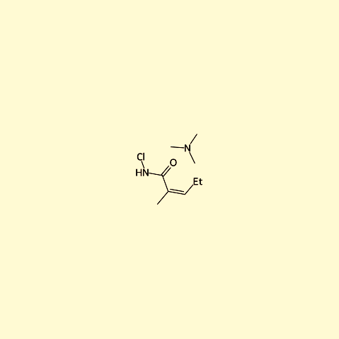 CCC=C(C)C(=O)NCl.CN(C)C